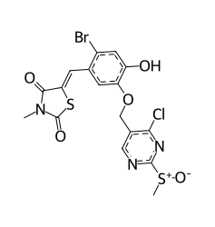 CN1C(=O)S/C(=C\c2cc(OCc3cnc([S+](C)[O-])nc3Cl)c(O)cc2Br)C1=O